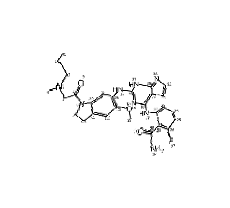 CCCN(C)CC(=O)N1CCc2cc(OC)c(Nc3nc(Nc4cccc(F)c4C(N)=O)c4ccnc-4[nH]3)cc21